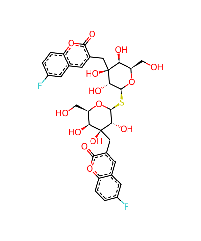 O=c1oc2ccc(F)cc2cc1C[C@]1(O)[C@@H](O)[C@@H](CO)O[C@@H](S[C@@H]2O[C@H](CO)[C@H](O)[C@@](O)(Cc3cc4cc(F)ccc4oc3=O)[C@H]2O)[C@@H]1O